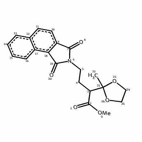 COC(=O)C(CCN1C(=O)c2ccc3ccccc3c2C1=O)C1(C)OCCO1